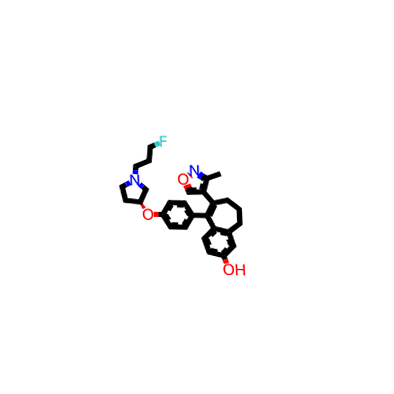 Cc1nocc1C1=C(c2ccc(O[C@H]3CCN(CCCF)C3)cc2)c2ccc(O)cc2CCC1